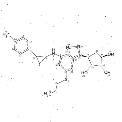 CCCSc1nc(NC2CC2c2ccc(C)cc2)c2nnn([C@H]3C[C@@H](O)[C@H](O)[C@@H]3O)c2n1